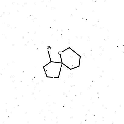 CC(C)C1CCCC12CCCCO2